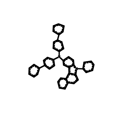 c1ccc(-c2ccc(N(c3ccc(-c4ccccc4)cc3)c3ccc4c(c3)c3c5ccccc5ccc3n4-c3ccccc3)cc2)cc1